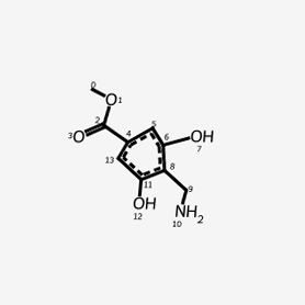 COC(=O)c1cc(O)c(CN)c(O)c1